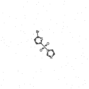 O=S(=O)(c1ccc(Br)s1)n1ccnc1